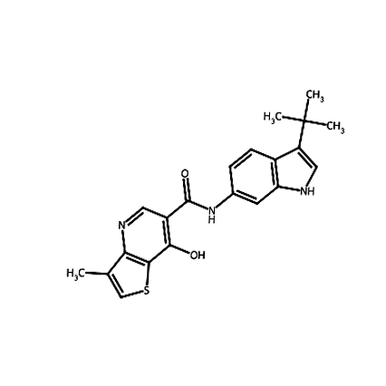 Cc1csc2c(O)c(C(=O)Nc3ccc4c(C(C)(C)C)c[nH]c4c3)cnc12